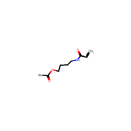 C=CC(=O)NCCCCOC(=O)C(C)(C)C